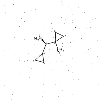 CC1([C@H](N)C2CC2)CC1